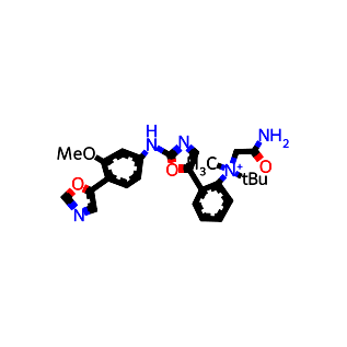 COc1cc(Nc2ncc(-c3ccccc3[N+](C)(CC(N)=O)C(C)(C)C)o2)ccc1-c1cnco1